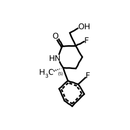 C[C@@]1(c2ccccc2F)CCC(F)(CO)C(=O)N1